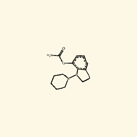 NC(=O)Oc1cccc2c1N(N1CCCCC1)CC2